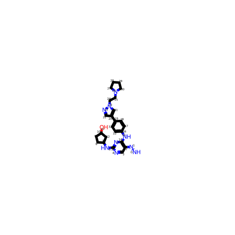 N=Nc1cnc(NC2CCC(O)C2)nc1Nc1ccc(-c2cnn(CCN3CCCC3)c2)cc1